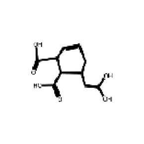 O=C(O)C1C=CCC(CC(O)O)C1C(=O)O